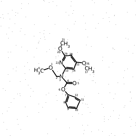 COCN(C(=O)Oc1ccccc1)c1cc(OC)cc(OC)n1